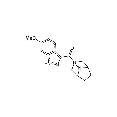 COc1ccc2c(C(=O)N3CC4CCC(C3)N4C)n[nH]c2c1